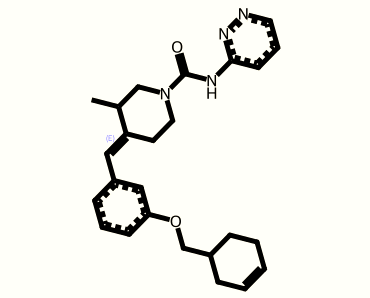 CC1CN(C(=O)Nc2cccnn2)CC/C1=C\c1cccc(OCC2CC=CCC2)c1